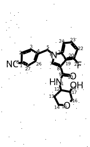 N#Cc1ccc(Cn2cc(C(=O)NC3CCOCC3O)c3c(F)cccc32)cc1